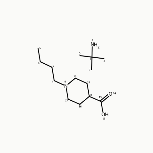 CC(C)(C)N.CCCCN1CCC(C(=O)O)CC1